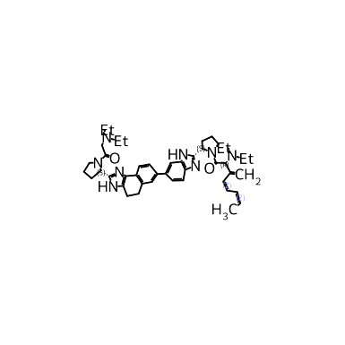 C=C(/C=C\C=C/C)[C@H](C(=O)N1CCC[C@H]1c1nc2ccc(-c3ccc4c(c3)CCc3[nH]c([C@@H]5CCCN5C(=O)CN(CC)CC)nc3-4)cc2[nH]1)N(CC)CC